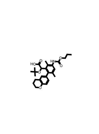 CCCOC(=O)Nc1cc(C)c(-c2ccc3c(c2)CCCO3)c(C(OC(C)(C)C)C(=O)O)c1C